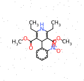 CCC1=C(C(=O)OC)C(c2ccccc2[N+](=O)[O-])C(C(=O)OC)=C(CC)N1